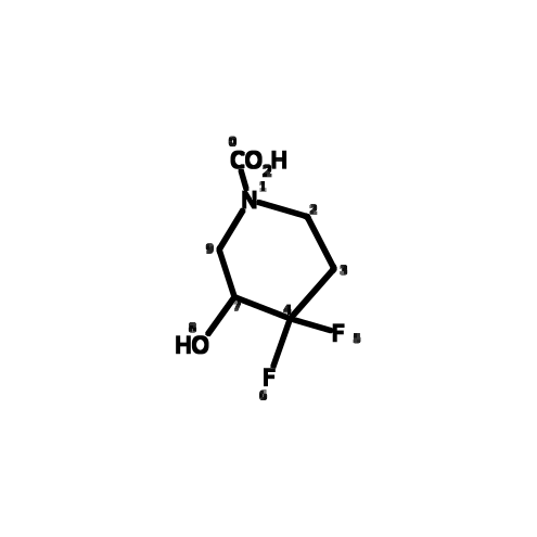 O=C(O)N1CCC(F)(F)C(O)C1